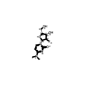 CN(C)c1ccn([C@@H]2O[C@H](CO)[C@H](O)C2F)c(=O)n1